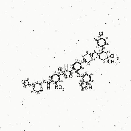 CC1(C)CCC(CN2CCN(c3ccc(C(=O)NS(=O)(=O)c4ccc(NC[C@H]5CN(C6COC6)CCO5)c([N+](=O)[O-])c4)c(Oc4cccc5[nH]cnc45)c3)CC2)=C(c2ccc(Cl)cc2)C1